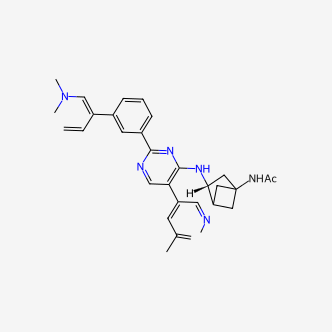 C=C/C(=C\N(C)C)c1cccc(-c2ncc(C(/C=N\C)=C/C(=C)C)c(N[C@@H]3CC4(NC(C)=O)CC3C4)n2)c1